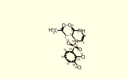 CC(=O)C[C@@H]1C(=O)NC=CN1S(=O)(=O)c1cccc(Cl)c1Cl